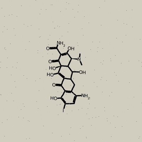 CN(C)[C@@H]1C(O)=C(C(N)=O)C(=O)[C@@]2(O)C(O)=C3C(=O)c4c(O)c(I)cc(N)c4CC3C(O)C12